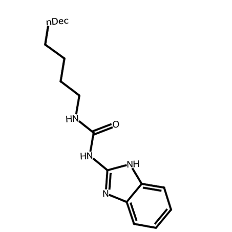 CCCCCCCCCCCCCCNC(=O)Nc1nc2ccccc2[nH]1